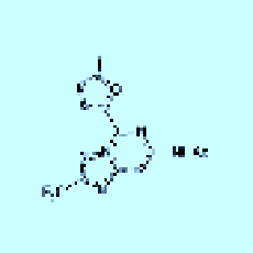 CC(=O)Nc1cc2nc(C(F)(F)F)nn2c(-c2ccc(C)o2)n1